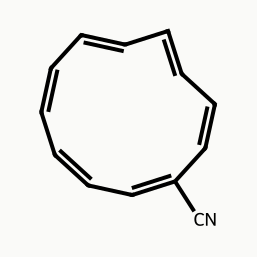 N#CC1=C/C=C\C=C/C=C/C=C/C=C\1